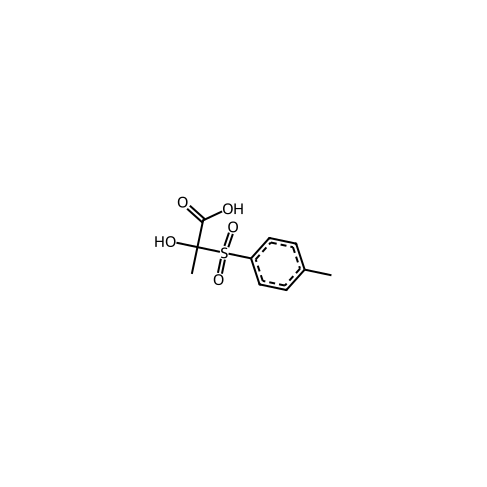 Cc1ccc(S(=O)(=O)C(C)(O)C(=O)O)cc1